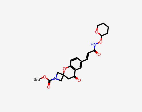 CC(C)(C)OC(=O)N1CC2(CC(=O)c3cc(/C=C/C(=O)NOC4CCCCO4)ccc3O2)C1